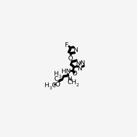 C=N/C(=C\C=C(/C)OC)NC(=O)c1cc(Oc2cncc(F)c2)cn2ncnc12